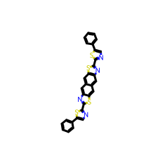 c1ccc(-c2cnc(-c3nc4cc5cc6sc(-c7ncc(-c8ccccc8)s7)nc6cc5cc4s3)s2)cc1